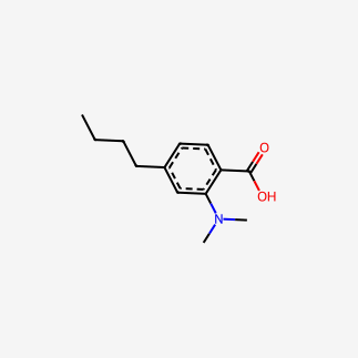 CCCCc1ccc(C(=O)O)c(N(C)C)c1